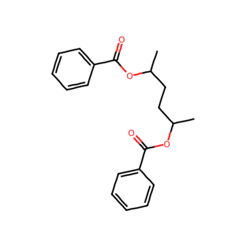 CC(CCC(C)OC(=O)c1ccccc1)OC(=O)c1ccccc1